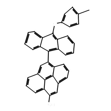 Cc1ccc(Oc2c3ccccc3c(-c3cc4cccc5c(C(C)(C)C)cc6cccc3c6c45)c3ccccc23)cc1